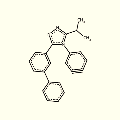 CC(C)c1nnc(-c2cccc(-c3ccccc3)c2)n1-c1cc#ccc1